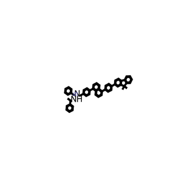 CC(N/C(=N\Cc1ccc(-c2cccc3c(-c4ccc(-c5ccc6c(c5)C(C)(C)c5ccccc5-6)cc4)cccc23)cc1)c1ccccc1)c1ccccc1